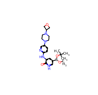 COB(OC(C)(C)C)c1c[nH]c(=O)c(Nc2ccc(N3CCN(C4COC4)CC3)cn2)c1